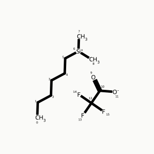 CCCCCC[Si+](C)C.O=C([O-])C(F)(F)F